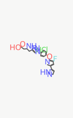 Cl.NC(CC(=O)O)Cc1cn(-c2ccc(Oc3ncc(-c4ccn[nH]4)cc3F)cc2)nn1